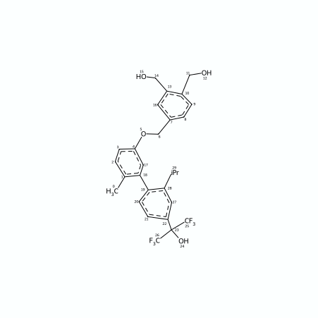 Cc1ccc(OCc2ccc(CO)c(CO)c2)cc1-c1ccc(C(O)(C(F)(F)F)C(F)(F)F)cc1C(C)C